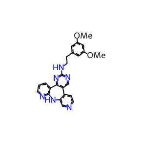 COc1cc(CCNc2ncc3c(n2)-c2cccnc2Nc2cnccc2-3)cc(OC)c1